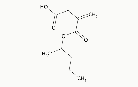 C=C(CC(=O)O)C(=O)OC(C)CCC